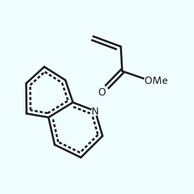 C=CC(=O)OC.c1ccc2ncccc2c1